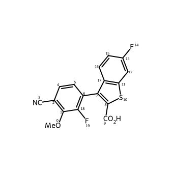 COc1c(C#N)ccc(-c2c(C(=O)O)sc3cc(F)ccc23)c1F